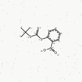 CC(C)(C)SC(=S)Sc1ccccc1[N+](=O)[O-]